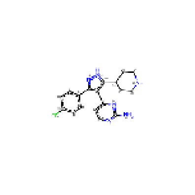 Nc1nccc(-c2c(-c3ccc(Cl)cc3)n[nH]c2C2CCNCC2)n1